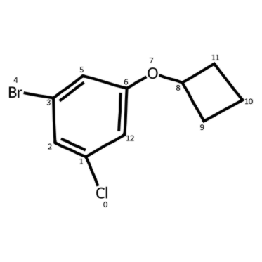 Clc1cc(Br)cc(OC2CCC2)c1